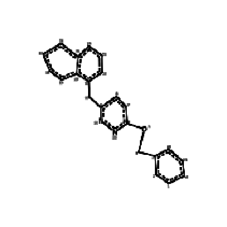 c1ccc(COc2ccc(Cc3cccc4ccccc34)nn2)cc1